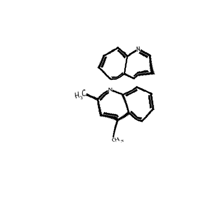 Cc1cc(C)c2ccccc2n1.c1ccc2ncccc2c1